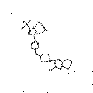 C[C@@H]1C(C(F)(F)F)=NN(c2ccc(OC3CCN(c4cc5c(cc4Cl)OCCO5)CC3)cc2)[C@H]1CC(=O)O